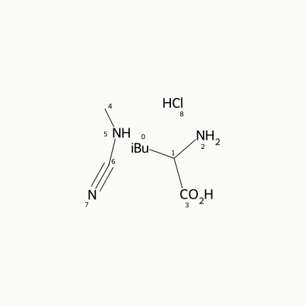 CCC(C)C(N)C(=O)O.CNC#N.Cl